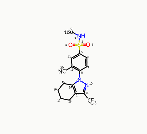 CC(C)(C)NS(=O)(=O)c1ccc(-n2nc(C(F)(F)F)c3c2CCCC3)c(C#N)c1